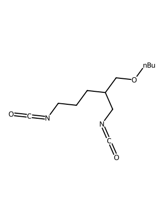 CCCCOCC(CCCN=C=O)CN=C=O